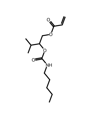 C=CC(=O)OCC(OC(=O)NCCCCC)C(C)C